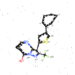 Oc1ccnc2c(-c3cc(-c4ccccc4)cs3)c(C(F)(F)F)nn12